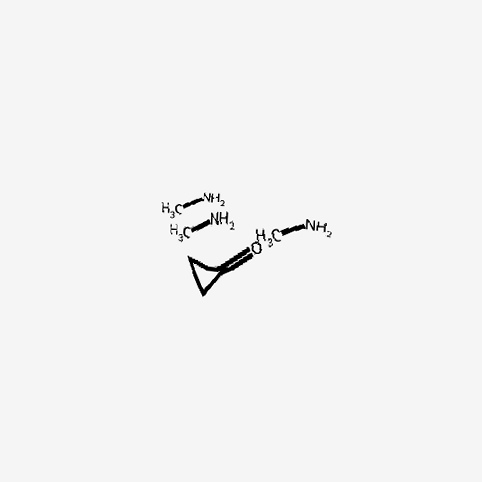 CN.CN.CN.O=C1CC1